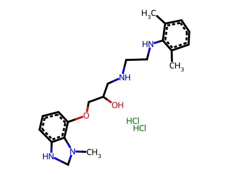 Cc1cccc(C)c1NCCNCC(O)COc1cccc2c1N(C)CN2.Cl.Cl